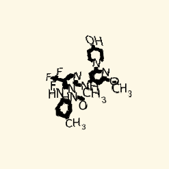 COc1cc(Nc2ncc(C(F)(F)F)c(Nc3ccc(C)cc3NC(C)=O)n2)cc(N2CCC(O)CC2)n1